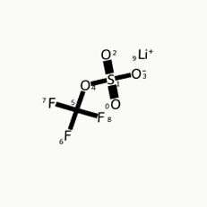 O=S(=O)([O-])OC(F)(F)F.[Li+]